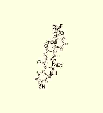 CCCCOc1cc2c(=O)c3c4ccc(C#N)cc4[nH]c3n(CC)c2cc1-c1cccc(OS(=O)(=O)F)c1